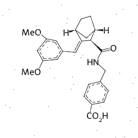 COc1cc(C=C2[C@@H]3CC[C@@H](C3)[C@H]2C(=O)NCc2ccc(C(=O)O)cc2)cc(OC)c1